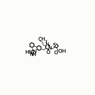 CCCCc1ncn(Cc2sccc2C(=O)O)c(=O)c1Cc1ccc(-c2ccccc2-c2nnn[nH]2)cc1